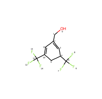 OCC1=CC(C(F)(F)F)CC(C(F)(F)F)=C1